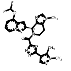 Cc1c(-c2nnc(C(=O)N3CCc4c(ncn4C)[C@@H]3c3cc4c(OC(F)F)cccn4n3)o2)cnn1C